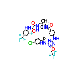 CC(C)(CNC(=O)C(=O)Nc1ccc(C(F)(F)F)cc1F)CNC(=O)c1ccc(Nc2nc(NC3(c4ccc(Cl)cc4)CC3)nc(OCC(F)(F)F)n2)cc1